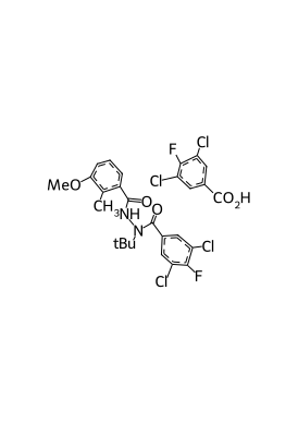 COc1cccc(C(=O)NN(C(=O)c2cc(Cl)c(F)c(Cl)c2)C(C)(C)C)c1C.O=C(O)c1cc(Cl)c(F)c(Cl)c1